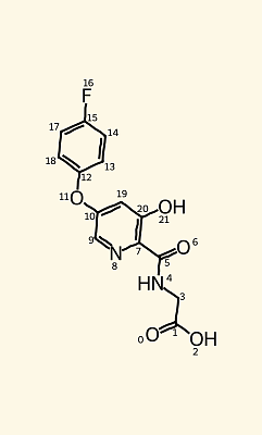 O=C(O)CNC(=O)c1ncc(Oc2ccc(F)cc2)cc1O